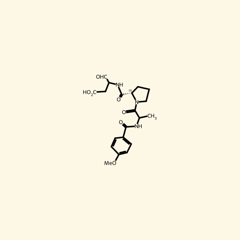 COc1ccc(C(=O)NC(C)C(=O)N2CCC[C@H]2C(=O)NC(C=O)CC(=O)O)cc1